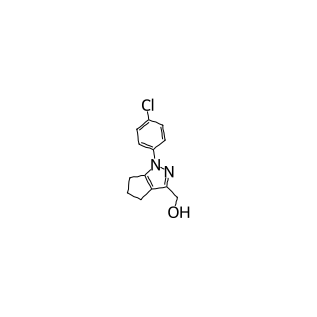 OCc1nn(-c2ccc(Cl)cc2)c2c1CCC2